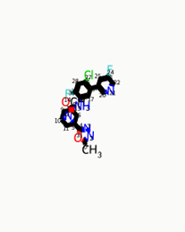 Cc1nnc(C23CC(C)CC(C2)N3C(=O)Nc2cc(-c3cncc(F)c3)c(Cl)cc2F)o1